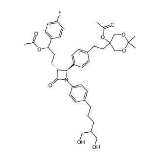 CC(=O)OC(CC[C@H]1C(=O)N(c2ccc(CCCC(CO)CO)cc2)[C@@H]1c1ccc(CCC2(OC(C)=O)COC(C)(C)OC2)cc1)c1ccc(F)cc1